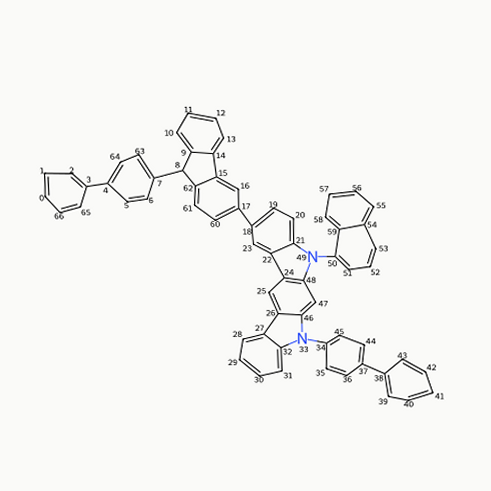 c1ccc(-c2ccc(C3c4ccccc4-c4cc(-c5ccc6c(c5)c5cc7c8ccccc8n(-c8ccc(-c9ccccc9)cc8)c7cc5n6-c5cccc6ccccc56)ccc43)cc2)cc1